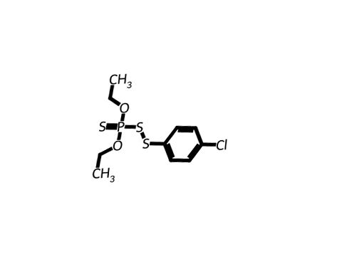 CCOP(=S)(OCC)SSc1ccc(Cl)cc1